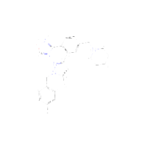 Cc1ccc(Cn2nc(-c3cc(CN4CCCCC4)ccc3-c3ncon3)cc2C)cc1